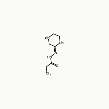 O=C(CC(F)(F)F)NN=C1CNCCN1